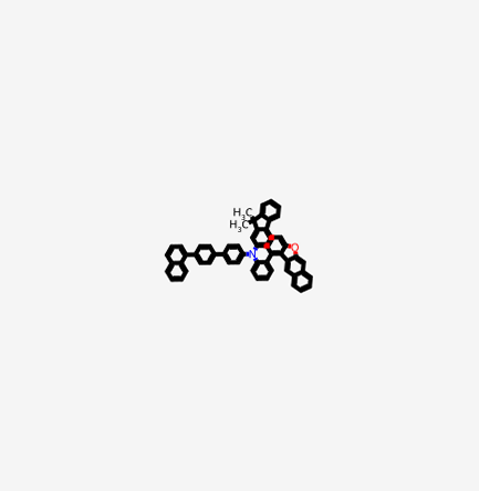 CC1(C)c2ccccc2-c2ccc(N(c3ccc(-c4ccc(-c5cccc6ccccc56)cc4)cc3)c3ccccc3-c3cccc4oc5cc6ccccc6cc5c34)cc21